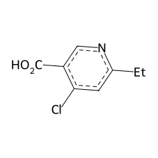 CCc1cc(Cl)c(C(=O)O)cn1